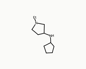 CCN1CCC(NC2CCCC2)C1